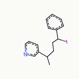 CC(CCC(I)c1ccccc1)c1cccnc1